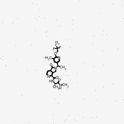 CNC(=O)[C@H](C)NC(=O)c1nccc2c1CN(C(C)c1cnc(OCC(C)(F)F)c(C)c1)C2=O